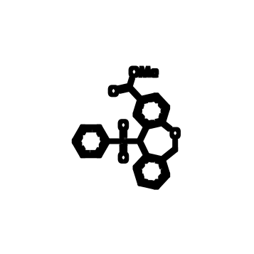 COC(=O)c1ccc2c(c1)C(S(=O)(=O)c1ccccc1)c1ccccc1CO2